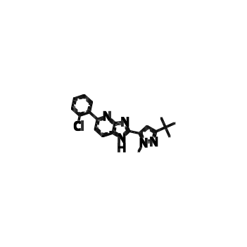 Cn1nc(C(C)(C)C)cc1-c1nc2nc(-c3ccccc3Cl)ccc2[nH]1